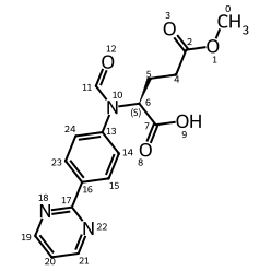 COC(=O)CC[C@@H](C(=O)O)N(C=O)c1ccc(-c2ncccn2)cc1